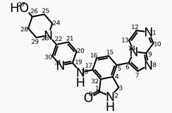 O=C1NCc2c(-c3cnc4cnccn34)ccc(Nc3ccc(N4CCC(O)CC4)cn3)c21